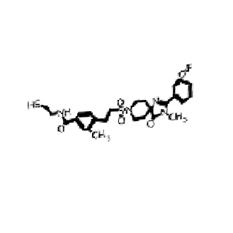 Cc1cc(C(=O)NCCS)ccc1CCS(=O)(=O)N1CCC2(CC1)N=C(c1cccc(OF)c1)N(C)C2=O